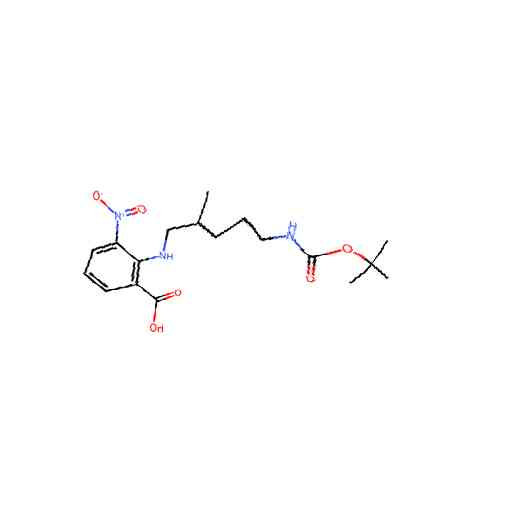 CC(CCCNC(=O)OC(C)(C)C)CNc1c(C(=O)O)cccc1[N+](=O)[O-]